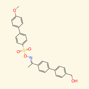 COc1ccc(-c2ccc(S(=O)(=O)O/N=C(\C)c3ccc(-c4ccc(CO)cc4)cc3)cc2)cc1